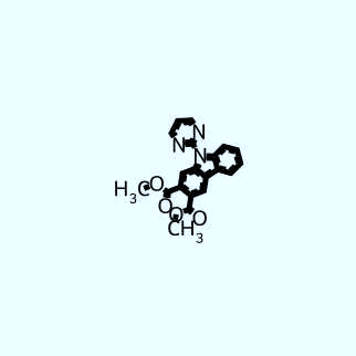 COC(=O)c1cc2c3ccccc3n(-c3ncccn3)c2cc1C(=O)OC